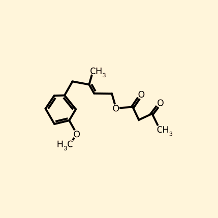 COc1cccc(CC(C)=CCOC(=O)CC(C)=O)c1